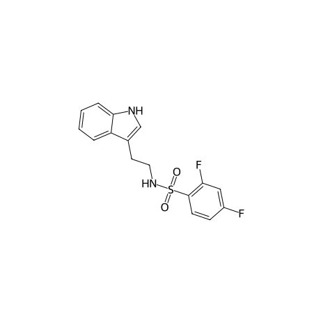 O=S(=O)(NCCc1c[nH]c2ccccc12)c1ccc(F)cc1F